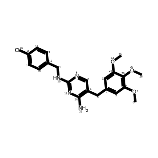 COc1cc(Cc2cnc(NCc3ccc(Cl)cc3)nc2N)cc(OC)c1OC